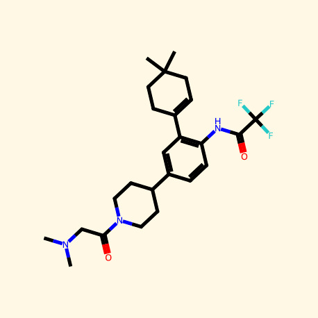 CN(C)CC(=O)N1CCC(c2ccc(NC(=O)C(F)(F)F)c(C3=CCC(C)(C)CC3)c2)CC1